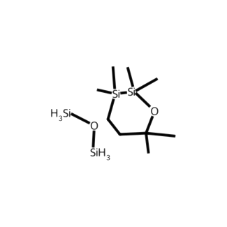 CC1(C)CC[Si](C)(C)[Si](C)(C)O1.[SiH3]O[SiH3]